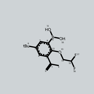 C=C(C)c1cc(C(C)(C)C)cc(B(O)O)c1OCC(F)F